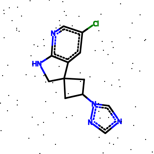 Clc1cnc2c(c1)C1(CN2)CC(n2cncn2)C1